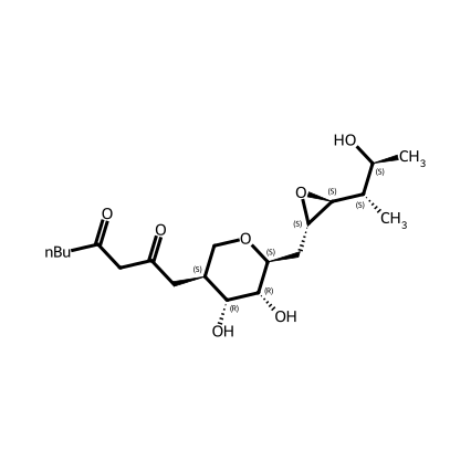 CCCCC(=O)CC(=O)C[C@H]1CO[C@@H](C[C@@H]2O[C@H]2[C@@H](C)[C@H](C)O)[C@H](O)[C@@H]1O